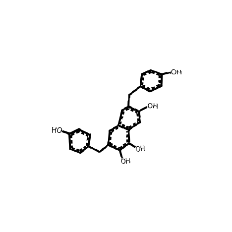 Oc1ccc(Cc2cc3cc(Cc4ccc(O)cc4)c(O)c(O)c3cc2O)cc1